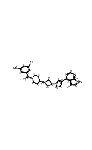 O=C(c1cc(F)cc(Br)c1)N1CCC(N2C[C](n3cc(-c4ncnc5[nH]ccc45)cn3)C2)CC1